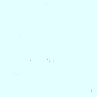 Nc1ccc(S(=O)(=O)O)cc1.O=C(Nc1cc(S(=O)(=O)O)cc2cc(S(=O)(=O)O)cc(O)c12)c1ccc(CS(=O)(=O)CCCl)cc1